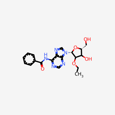 CCOC1C(O)[C@@H](CO)O[C@H]1n1cnc2c(NC(=O)c3ccccc3)ncnc21